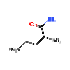 NC(=O)C(CCS(=O)(=O)O)[N+](=O)[O-]